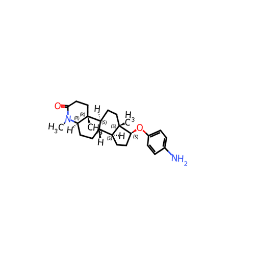 CN1C(=O)CC[C@]2(C)[C@H]3CC[C@]4(C)[C@@H](Oc5ccc(N)cc5)CC[C@H]4[C@@H]3CC[C@@H]12